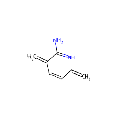 C=C/C=C\C(=C)C(=N)N